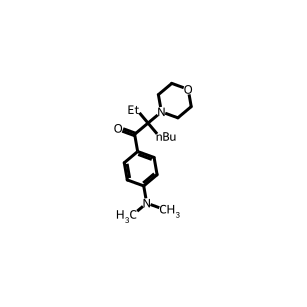 CCCCC(CC)(C(=O)c1ccc(N(C)C)cc1)N1CCOCC1